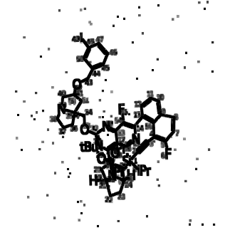 CC(C)[Si](C#Cc1c(F)ccc2cccc(-c3ncc4c(N5C[C@H]6CC[C@@H](C5)N6C(=O)OC(C)(C)C)nc(OC[C@@]56CCCN5C[C@@H](OCc5cccc(I)c5)C6)nc4c3F)c12)(C(C)C)C(C)C